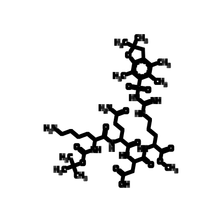 COC(=O)C(CCCNC(=N)NS(=O)(=O)c1c(C)c(C)c2c(c1C)OC(C)(C)C2)NC(=O)C(CC(=O)O)NC(=O)C(CCC(N)=O)NC(=O)C(CCCCN)NC(=O)OC(C)(C)C